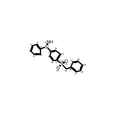 N=S(c1ccccc1)c1ccc(S(=O)(=O)Cc2ccccc2)cc1